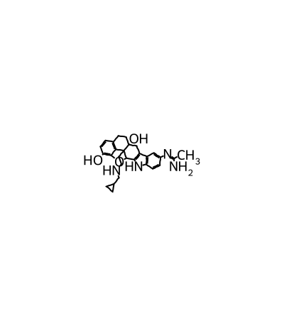 C/C(N)=N/c1ccc2[nH]c3c(c2c1)CC1(O)CCc2ccc(O)c4c2C1(CCNCC1CC1)C3O4